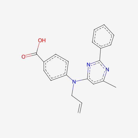 C=CCN(c1ccc(C(=O)O)cc1)c1cc(C)nc(-c2ccccc2)n1